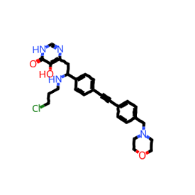 O=c1[nH]cnc(CC(NCCCCl)c2ccc(C#Cc3ccc(CN4CCOCC4)cc3)cc2)c1O